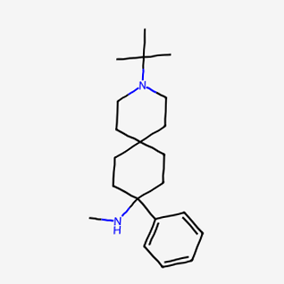 CNC1(c2ccccc2)CCC2(CCN(C(C)(C)C)CC2)CC1